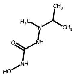 CC(C)N(C)NC(=O)NO